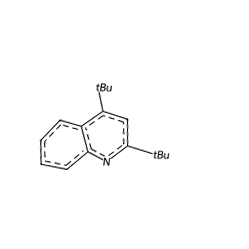 CC(C)(C)c1cc(C(C)(C)C)c2ccccc2n1